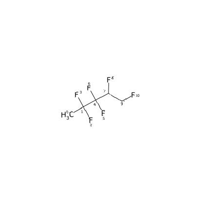 CC(F)(F)C(F)(F)C(F)[CH]F